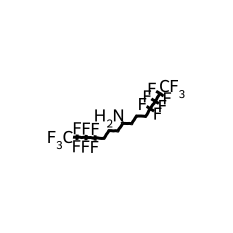 NC(CCCC(F)(F)C(F)(F)C(F)(F)C(F)(F)F)CCCC(F)(F)C(F)(F)C(F)(F)C(F)(F)F